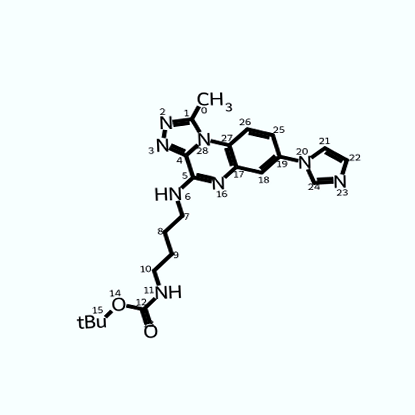 Cc1nnc2c(NCCCCNC(=O)OC(C)(C)C)nc3cc(-n4ccnc4)ccc3n12